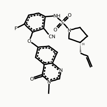 C=CC[C@H]1CCN(S(=O)(=O)Nc2ccc(F)c(Oc3ccc4ncn(C)c(=O)c4c3)c2C#N)C1